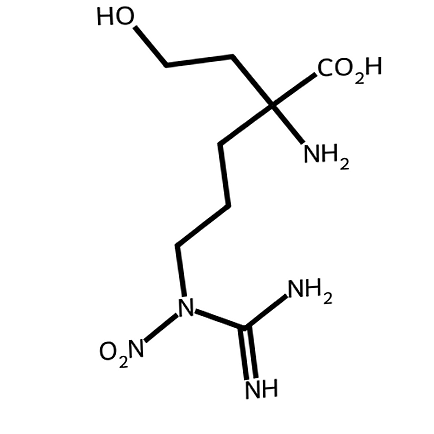 N=C(N)N(CCCC(N)(CCO)C(=O)O)[N+](=O)[O-]